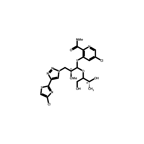 CNC(=O)c1ncc(Cl)cc1SC(OC(CO)[C@@H](C)O)[C@H](Cn1cc(-c2nc(Cl)cs2)nn1)OC